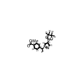 COC(=O)c1ccc(C(C)n2cc(B3OC(C)(C)C(C)(C)O3)cn2)cc1